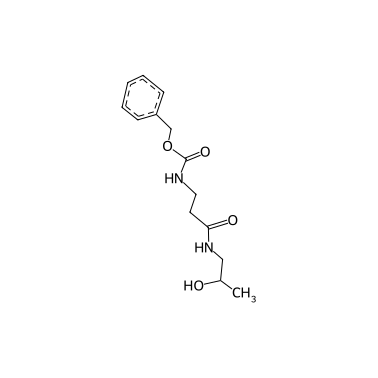 CC(O)CNC(=O)CCNC(=O)OCc1ccccc1